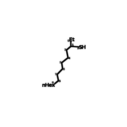 [CH2]CC(S)CCCCCCCCCCCC